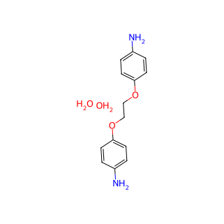 Nc1ccc(OCCOc2ccc(N)cc2)cc1.O.O